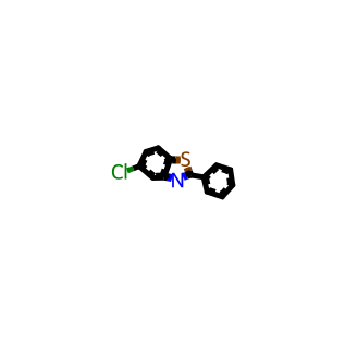 Clc1ccc2sc(-c3ccccc3)nc2c1